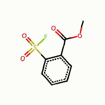 COC(=O)c1ccccc1S(=O)(=O)F